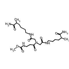 COC(=O)NCCC(=O)N(CC(=O)NCCCCC(C)C(N)=O)CC(=O)NCCCCC(C)C(N)=O